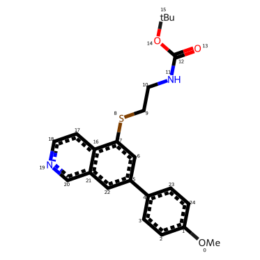 COc1ccc(-c2cc(SCCNC(=O)OC(C)(C)C)c3ccncc3c2)cc1